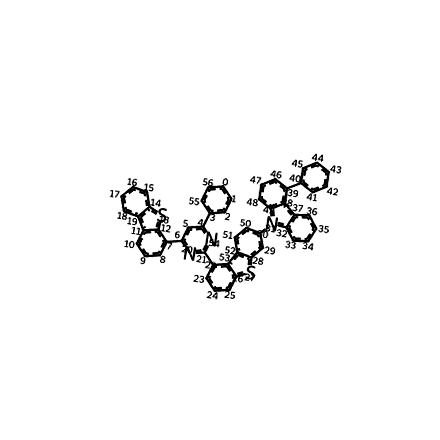 c1ccc(-c2cc(-c3cccc4c3sc3ccccc34)nc(-c3cccc4sc5cc(-n6c7ccccc7c7c(-c8ccccc8)cccc76)ccc5c34)n2)cc1